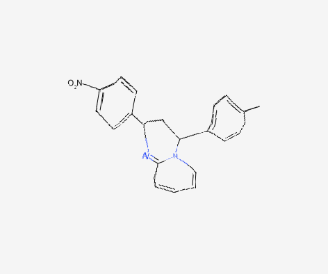 Cc1ccc(C2CC(c3ccc([N+](=O)[O-])cc3)N=C3C=CC=CN32)cc1